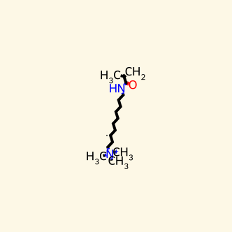 C=C(C)C(=O)NCCCCCCC[CH]CC[N+](C)(C)C